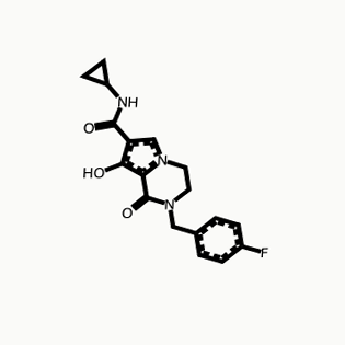 O=C(NC1CC1)c1cn2c(c1O)C(=O)N(Cc1ccc(F)cc1)CC2